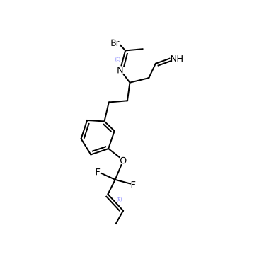 C/C=C/C(F)(F)Oc1cccc(CCC(CC=N)/N=C(\C)Br)c1